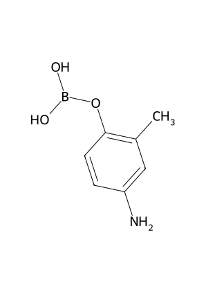 Cc1cc(N)ccc1OB(O)O